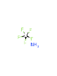 N.[F][U]([F])([F])([F])[F]